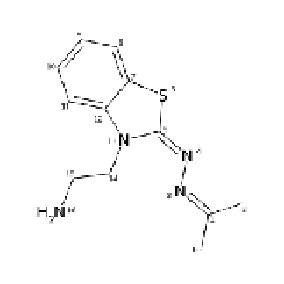 CC(C)=NN=c1sc2ccccc2n1CCN